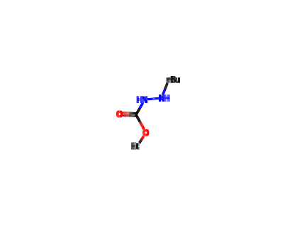 CCCCNNC(=O)OCC